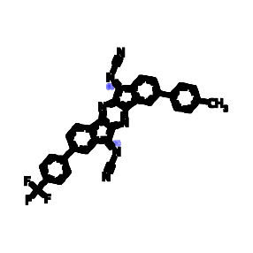 Cc1ccc(-c2ccc3/c(=N\C#N)c4nc5c(nc4c3c2)/c(=N/C#N)c2cc(-c3ccc(C(F)(F)F)cc3)ccc25)cc1